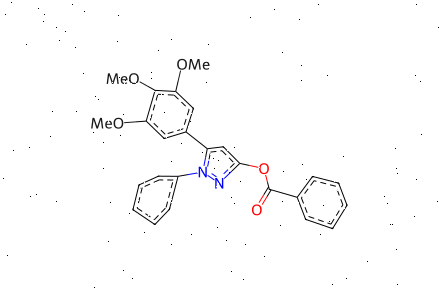 COc1cc(-c2cc(OC(=O)c3ccccc3)nn2-c2ccccc2)cc(OC)c1OC